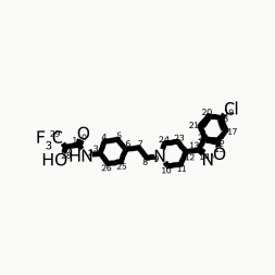 O=C(NC1CCC(CCN2CCC(c3noc4cc(Cl)ccc34)CC2)CC1)C(O)C(F)(F)F